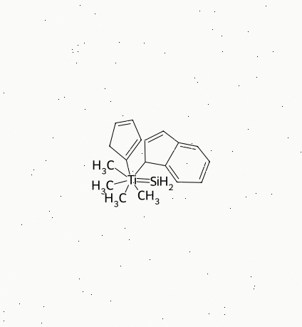 [CH3][Ti]([CH3])([CH3])([CH3])(=[SiH2])([C]1=CC=CC1)[CH]1C=Cc2ccccc21